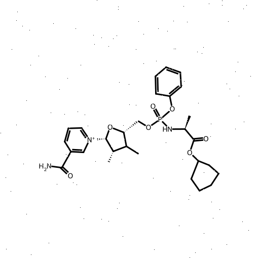 CC1[C@@H](COP(=O)(N[C@@H](C)C(=O)OC2CCCCC2)Oc2ccccc2)O[C@@H]([n+]2cccc(C(N)=O)c2)[C@H]1C